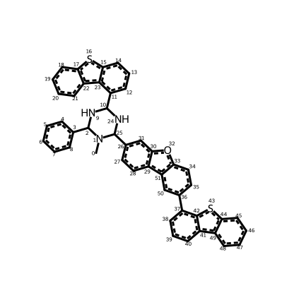 CN1C(c2ccccc2)NC(c2cccc3sc4ccccc4c23)NC1c1ccc2c(c1)oc1ccc(-c3cccc4c3sc3ccccc34)cc12